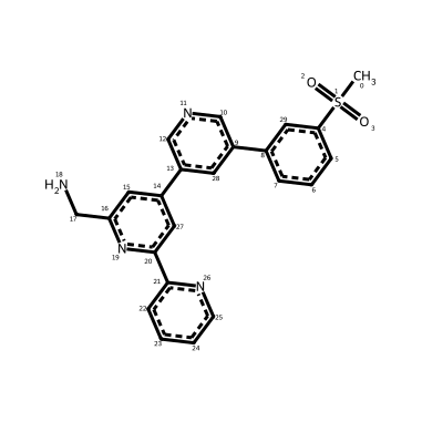 CS(=O)(=O)c1cccc(-c2cncc(-c3cc(CN)nc(-c4ccccn4)c3)c2)c1